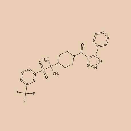 CC(C)(C1CCN(C(=O)c2snnc2-c2ccccc2)CC1)S(=O)(=O)c1cccc(C(F)(F)F)c1